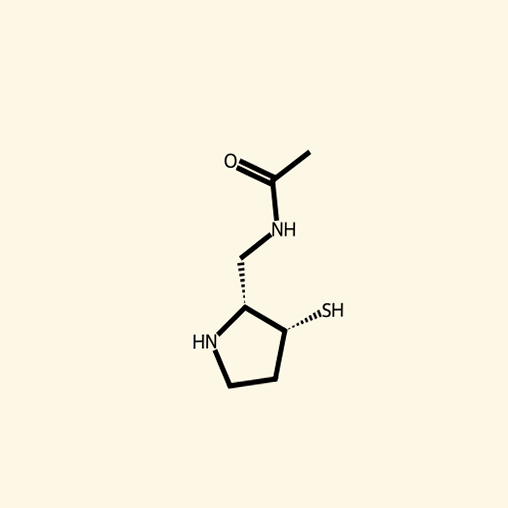 CC(=O)NC[C@H]1NCC[C@H]1S